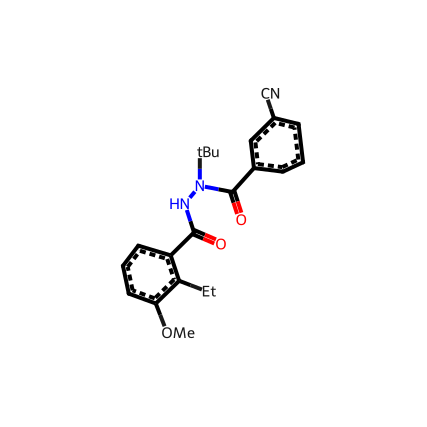 CCc1c(OC)cccc1C(=O)NN(C(=O)c1cccc(C#N)c1)C(C)(C)C